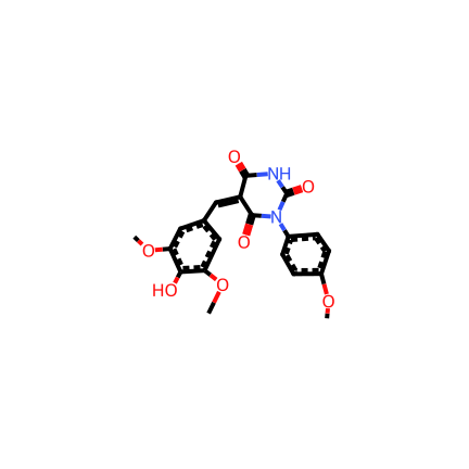 COc1ccc(N2C(=O)NC(=O)C(=Cc3cc(OC)c(O)c(OC)c3)C2=O)cc1